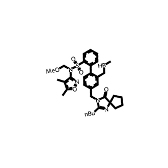 CBCc1cc(CN2C(=O)C3(CCCC3)N=C2CCCC)ccc1-c1ccccc1S(=O)(=O)N(COC)c1noc(C)c1C